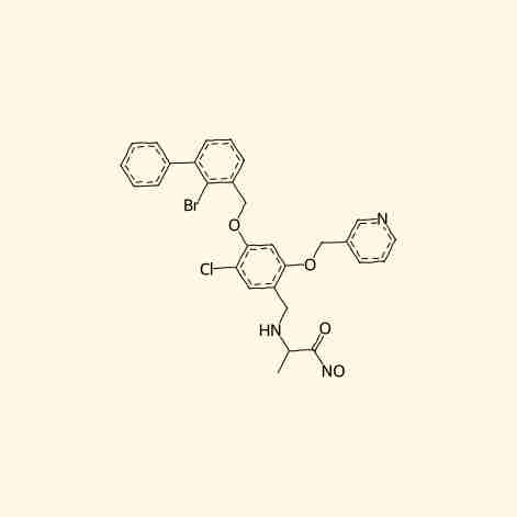 CC(NCc1cc(Cl)c(OCc2cccc(-c3ccccc3)c2Br)cc1OCc1cccnc1)C(=O)N=O